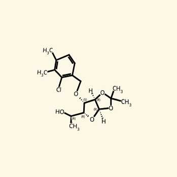 Cc1ccc(CO[C@@H]2[C@H]3OC(C)(C)O[C@H]3O[C@@H]2[C@@H](C)O)c(Cl)c1C